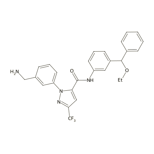 CCOC(c1ccccc1)c1cccc(NC(=O)c2cc(C(F)(F)F)nn2-c2cccc(CN)c2)c1